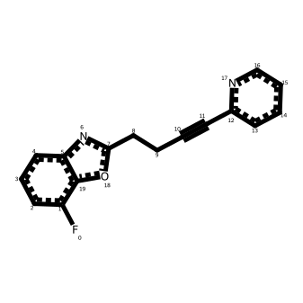 Fc1cccc2nc(CCC#Cc3ccccn3)oc12